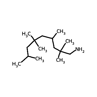 CC(C)CC(C)(C)CC(C)CC(C)(C)CN